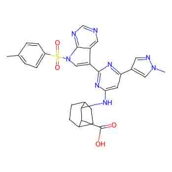 Cc1ccc(S(=O)(=O)n2cc(-c3nc(NC4C5CCC(CC5)C4C(=O)O)cc(-c4cnn(C)c4)n3)c3cncnc32)cc1